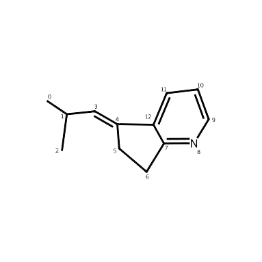 CC(C)/C=C1\CCc2ncccc21